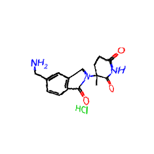 CC1(N2Cc3cc(CN)ccc3C2=O)CCC(=O)NC1=O.Cl